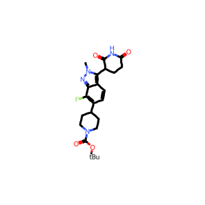 Cn1nc2c(F)c(C3CCN(C(=O)OC(C)(C)C)CC3)ccc2c1C1CCC(=O)NC1=O